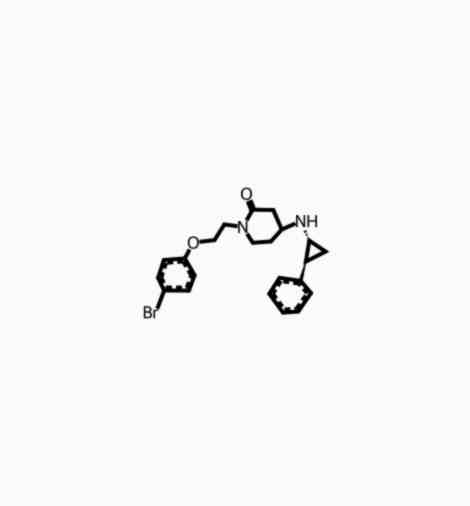 O=C1CC(N[C@@H]2C[C@H]2c2ccccc2)CCN1CCOc1ccc(Br)cc1